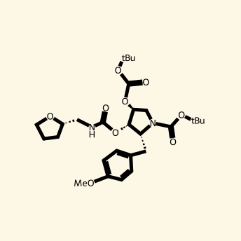 COc1ccc(C[C@@H]2[C@H](OC(=O)NC[C@@H]3CCCO3)[C@@H](OC(=O)OC(C)(C)C)CN2C(=O)OC(C)(C)C)cc1